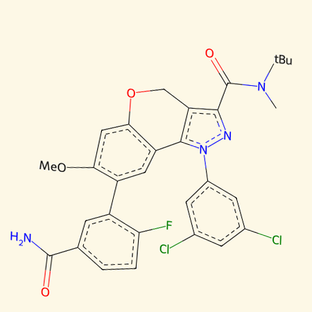 COc1cc2c(cc1-c1cc(C(N)=O)ccc1F)-c1c(c(C(=O)N(C)C(C)(C)C)nn1-c1cc(Cl)cc(Cl)c1)CO2